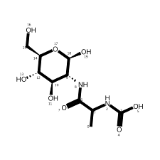 CC(NC(=O)O)C(=O)N[C@@H]1[C@@H](O)[C@H](O)[C@@H](CO)O[C@H]1O